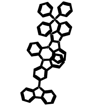 c1ccc([Si](c2ccccc2)(c2ccccc2)c2cccc3c2nc2n(-c4ccccc4-n4c5ccccc5c5cc(-n6c7ccccc7c7ccccc76)ccc54)c4ccccc4n32)cc1